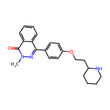 Cn1nc(-c2ccc(OCCC3CCCCN3)cc2)c2ccccc2c1=O